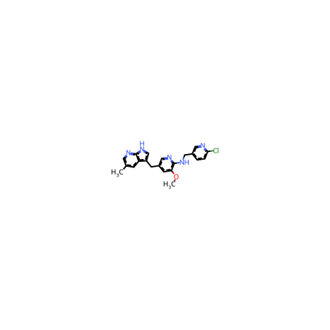 COc1cc(Cc2c[nH]c3ncc(C)cc23)cnc1NCc1ccc(Cl)nc1